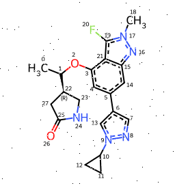 CC(Oc1cc(-c2cnn(C3CC3)c2)cc2nn(C)c(F)c12)[C@H]1CNC(=O)C1